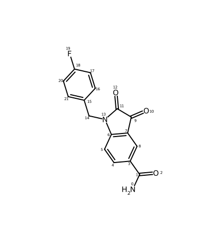 NC(=O)c1ccc2c(c1)C(=O)C(=O)N2Cc1ccc(F)cc1